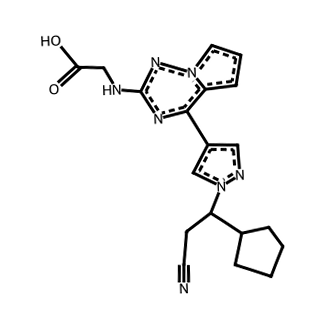 N#CCC(C1CCCC1)n1cc(-c2nc(NCC(=O)O)nn3cccc23)cn1